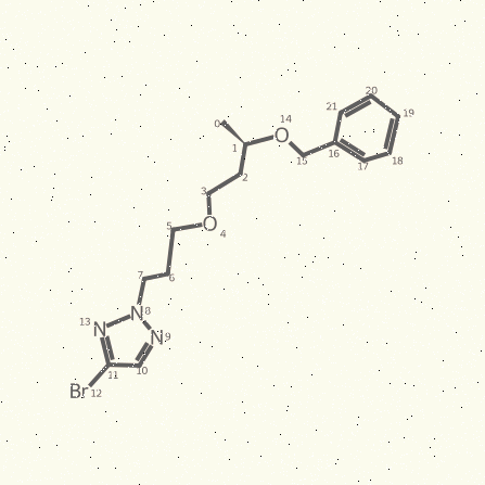 C[C@H](CCOCCCn1ncc(Br)n1)OCc1ccccc1